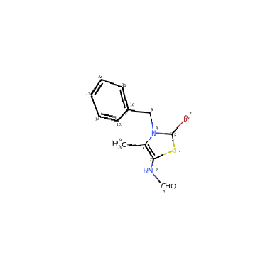 CC1=C(NC=O)SC(Br)N1Cc1ccccc1